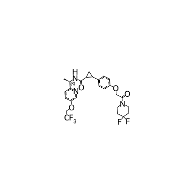 C[C@@H](NC(=O)C1CC1c1ccc(OCC(=O)N2CCC(F)(F)CC2)cc1)c1ccc(OCC(F)(F)F)cn1